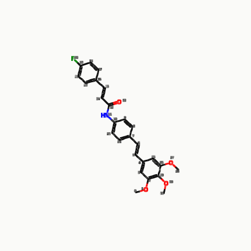 COc1cc(/C=C/c2ccc(NC(=O)/C=C/c3ccc(F)cc3)cc2)cc(OC)c1OC